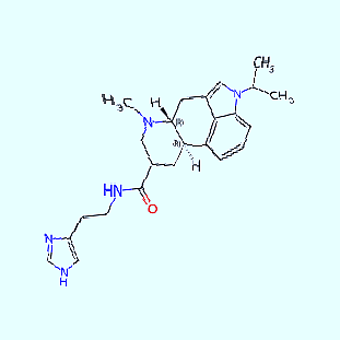 CC(C)n1cc2c3c(cccc31)[C@H]1CC(C(=O)NCCc3c[nH]cn3)CN(C)[C@@H]1C2